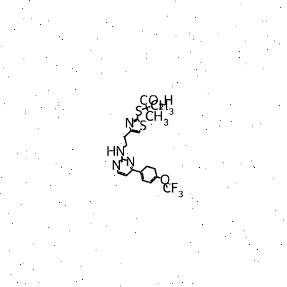 CC(C)(Sc1nc(CCNc2nccc(C3=CC=C(OC(F)(F)F)CC3)n2)cs1)C(=O)O